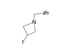 CC(C)CN1CC(I)C1